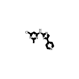 Cc1nc(Cl)cc(Nc2ncc(-c3ccncc3)s2)n1